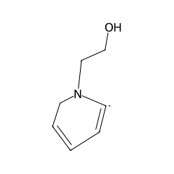 OCCN1[C]=CC=CC1